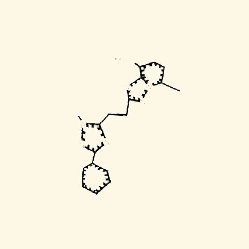 COc1ccc(C)n2nc(CCc3nc(-c4ccccc4)nn3C(C)C)nc12